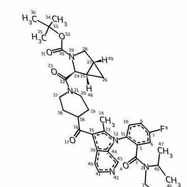 CCN(C(=O)c1cc(F)ccc1-n1c(C)c(C(=O)C2CCN(C(=O)[C@@H]3[C@H]4C[C@H]4CN3C(=O)OC(C)(C)C)CC2)c2ccncc21)C(C)C